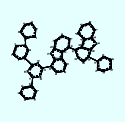 c1ccc(-c2cccc(-c3nc(-c4ccccc4)nc(-c4cccc5c4sc4cccc(-c6ccc(-c7ccccc7)c7sc8ccccc8c67)c45)n3)c2)cc1